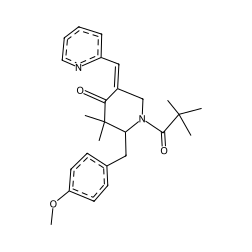 COc1ccc(CC2N(C(=O)C(C)(C)C)C/C(=C/c3ccccn3)C(=O)C2(C)C)cc1